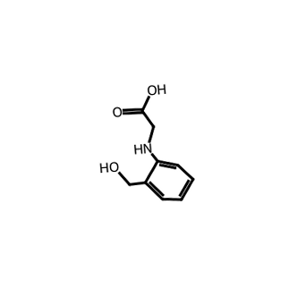 O=C(O)CNc1ccccc1CO